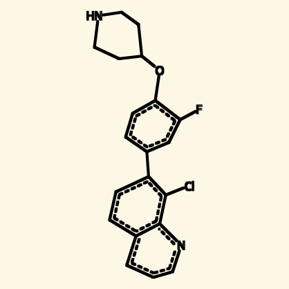 Fc1cc(-c2ccc3cccnc3c2Cl)ccc1OC1CCNCC1